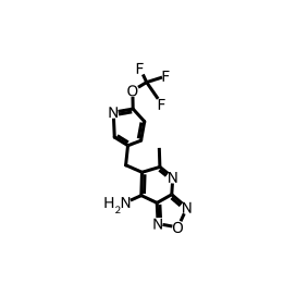 Cc1nc2nonc2c(N)c1Cc1ccc(OC(F)(F)F)nc1